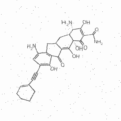 NC(=O)C1=C(O)[C@@H](N)C2CC3Cc4c(N)cc(C#CC5=CCCCC5)c(O)c4C(=O)C3=C(O)[C@]2(O)C1=O